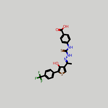 C/C(=N\NC(=S)Nc1ccc(C(=O)O)cc1)c1csc(-c2ccc(C(F)(F)F)cc2)c1O